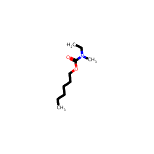 [CH2]CN(C)C(=O)OCCCCCC